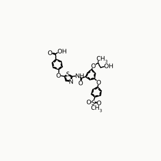 C[C@@H](CO)Oc1cc(Oc2ccc(S(C)(=O)=O)cc2)cc(C(=O)Nc2ncc(Oc3ccc(C(=O)O)cc3)s2)c1